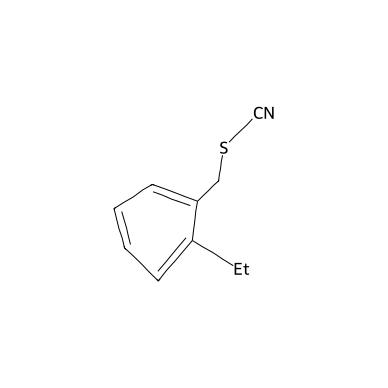 CCc1ccccc1CSC#N